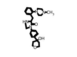 CN1CCN(c2ccccc2CC2NCCN(c3ccc(C4(O)CCOCC4)cc3)C2=O)CC1